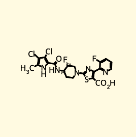 Cc1[nH]c(C(=O)N[C@@H]2CCN(c3nc(-c4ncccc4F)c(C(=O)O)s3)C[C@H]2F)c(Cl)c1Cl